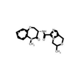 CC1Cn2c(cnc2C(=O)N[C@H]2COc3ccccc3N(C)C2=O)CO1